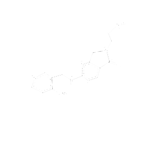 COc1ccncc1CNc1ccc2c(n1)CN(CCNC(C)=O)C2=O